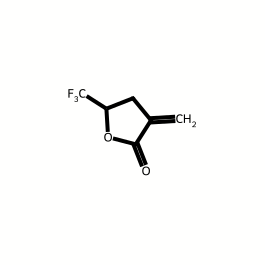 C=C1CC(C(F)(F)F)OC1=O